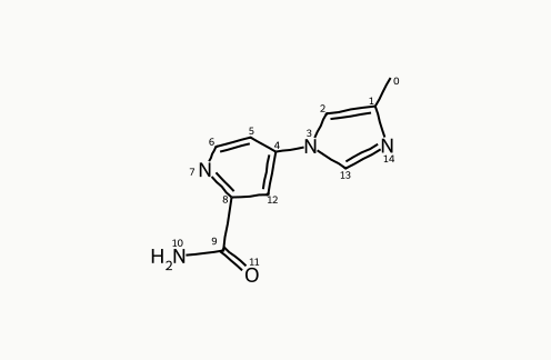 Cc1cn(-c2ccnc(C(N)=O)c2)cn1